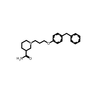 NC(=O)C1CCCN(CCCOc2ccc(Cc3ccccc3)cc2)C1